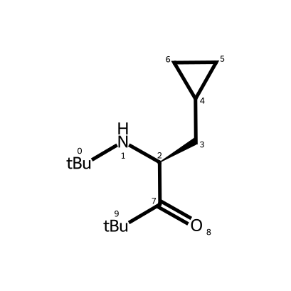 CC(C)(C)N[C@@H](CC1CC1)C(=O)C(C)(C)C